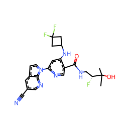 CC(C)(O)[C@H](F)CNC(=O)c1cnc(-n2ccc3cc(C#N)cnc32)cc1NC1CC(F)(F)C1